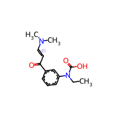 CCN(C(=O)O)c1cccc(C(=O)/C=C/N(C)C)c1